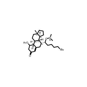 CC(=O)OC1CC(=O)C=C2C[C@@H](C(CCCCC(C)(C)C)O[SiH](C)C)[C@@H]3[C@H](CC[C@]4(C)CCC[C@@H]34)[C@H]21